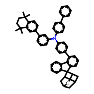 CC1(C)CCC(C)(C)c2cc(-c3cccc(N(c4ccc(-c5ccccc5)cc4)c4ccc(-c5cccc6c5-c5ccccc5C65C6CC7CC8CC5C86C7)cc4)c3)ccc21